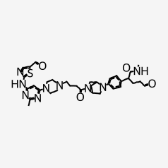 CNC(=O)C(CCC=O)c1ccc(N2CC3CC2CN3C(=O)CCCN2CCN(c3cc(Nc4ncc(C=O)s4)nc(C)n3)CC2)cc1